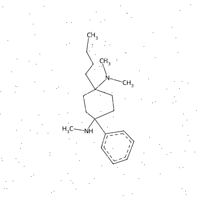 CCCCC1(N(C)C)CCC(NC)(c2ccccc2)CC1